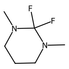 CN1CCCN(C)C1(F)F